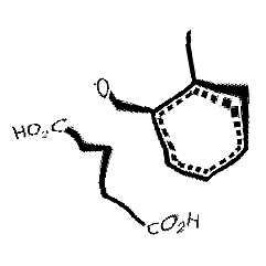 Cc1ccccc1[O].O=C(O)CCC(=O)O